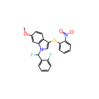 COc1ccc2c(Sc3ccccc3[N+](=O)[O-])cn(C(F)c3ccccc3F)c2c1